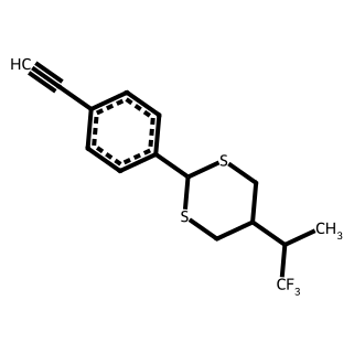 C#Cc1ccc(C2SCC(C(C)C(F)(F)F)CS2)cc1